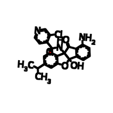 CC(C)c1ccc2c(c1)OC1(O)c3cccc(N)c3C(=O)C21NC(=O)c1ccncc1Cl